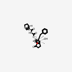 C[C@@H]1CCC23CCC(=O)C2[C@]1(C)[C@H](OC(=O)NC(=O)[C@H]1CN2CC[C@@H]1C2)C[C@@](C)(Cc1ccccc1)[C@@H](O)[C@@H]3C